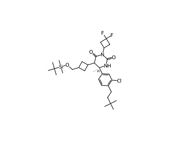 CC(C)(C)CCc1ccc([C@]2(C)NC(=O)N(C3CC(F)(F)C3)C(=O)C2C2CC(CO[Si](C)(C)C(C)(C)C)C2)cc1Cl